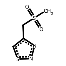 CS(=O)(=O)Cc1csnn1